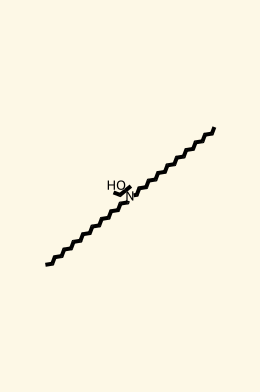 CCCCCCCCCCCCCCCCCCN(CCCCCCCCCCCCCCCCCC)C(C)(O)CC